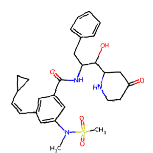 CN(c1cc(/C=C\C2CC2)cc(C(=O)NC(Cc2ccccc2)C(O)C2CC(=O)CCN2)c1)S(C)(=O)=O